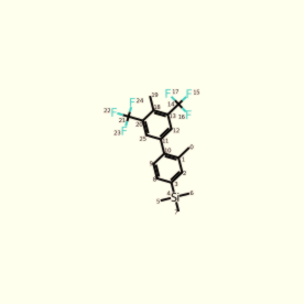 Cc1cc([Si](C)(C)C)ccc1-c1cc(C(F)(F)F)c(C)c(C(F)(F)F)c1